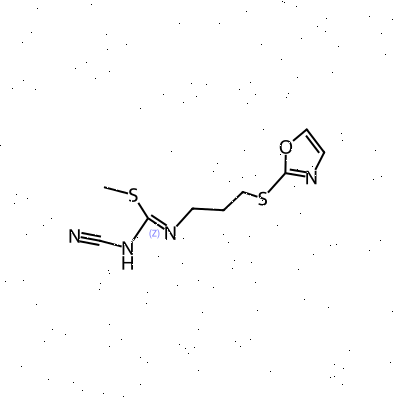 CS/C(=N\CCCSc1ncco1)NC#N